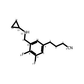 N#CCCCc1cc(F)c(F)c(CNC2CC2)c1